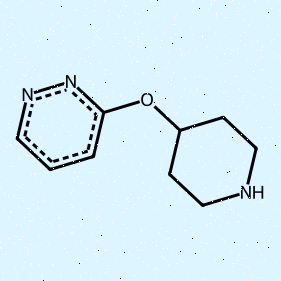 c1cnnc(OC2CCNCC2)c1